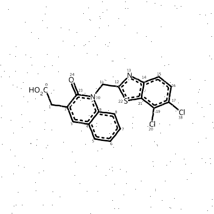 O=C(O)Cc1cc2ccccc2n(Cc2nc3ccc(Cl)c(Cl)c3s2)c1=O